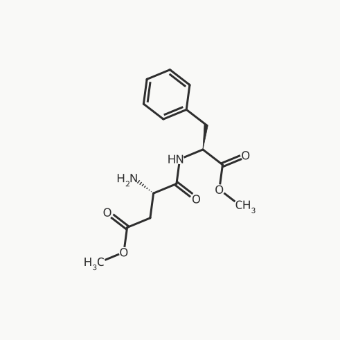 COC(=O)C[C@H](N)C(=O)N[C@@H](Cc1ccccc1)C(=O)OC